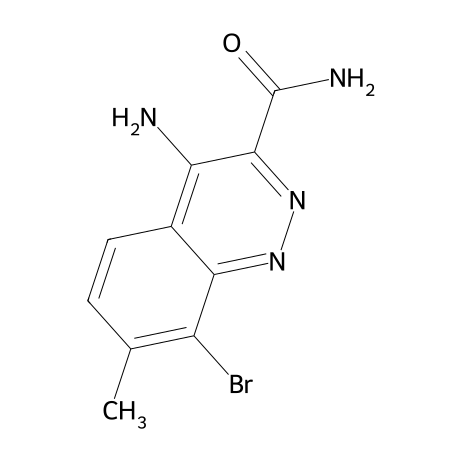 Cc1ccc2c(N)c(C(N)=O)nnc2c1Br